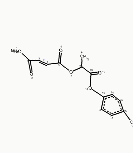 COC(=O)/C=C/C(=O)OC(C)C(=O)Oc1ccc(OC)cc1